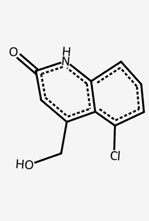 O=c1cc(CO)c2c(Cl)cccc2[nH]1